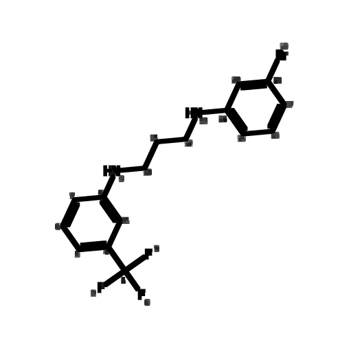 FC(F)(F)c1cccc(NCCCNc2cccc(Br)c2)c1